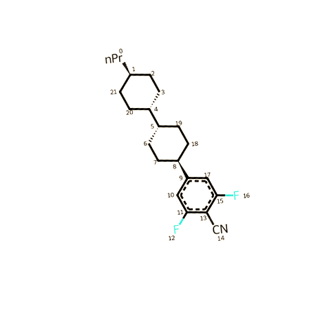 CCC[C@H]1CC[C@H]([C@H]2CC[C@H](c3cc(F)c(C#N)c(F)c3)CC2)CC1